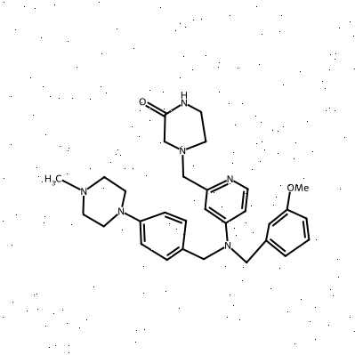 COc1cccc(CN(Cc2ccc(N3CCN(C)CC3)cc2)c2ccnc(CN3CCNC(=O)C3)c2)c1